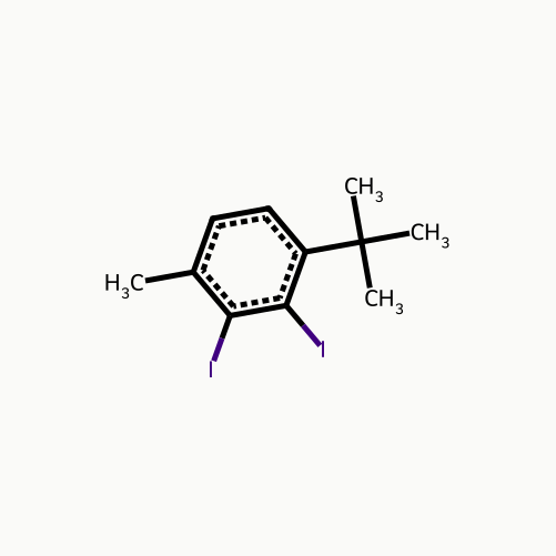 Cc1ccc(C(C)(C)C)c(I)c1I